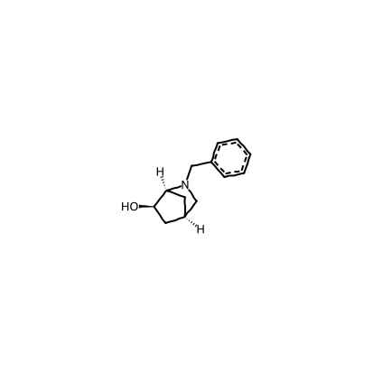 O[C@@H]1C[C@H]2C[C@@H]1N(Cc1ccccc1)C2